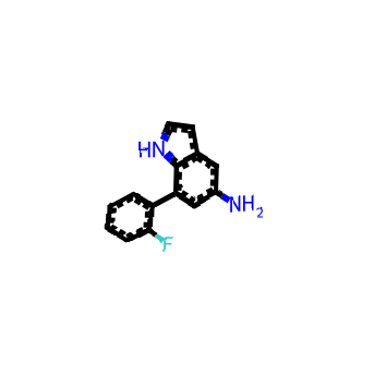 Nc1cc(-c2ccccc2F)c2[nH]ccc2c1